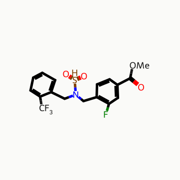 COC(=O)c1ccc(CN(Cc2ccccc2C(F)(F)F)[SH](=O)=O)c(F)c1